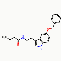 CCCC(=O)NCCc1c[nH]c2ccc(OCc3ccccc3)cc12